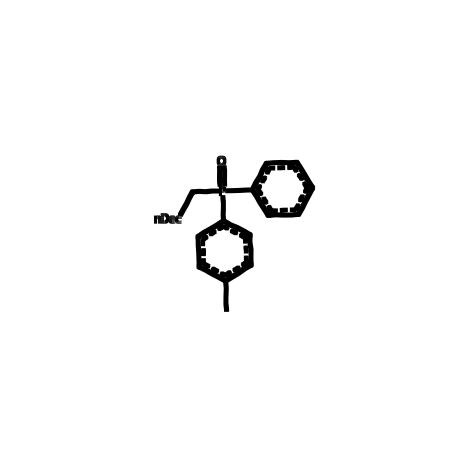 CCCCCCCCCCCP(=O)(c1ccccc1)c1ccc(C)cc1